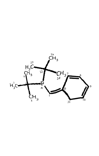 CC(C)(C)P(C=C1C=CC=CC1)C(C)(C)C